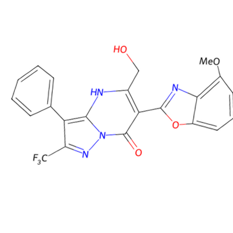 COc1cccc2oc(-c3c(CO)[nH]c4c(-c5ccccc5)c(C(F)(F)F)nn4c3=O)nc12